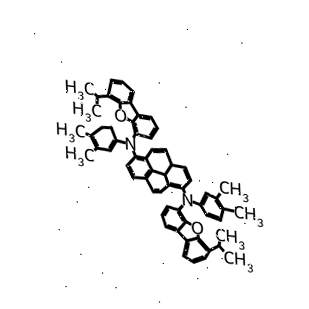 CC1=C(C)CCC(N(c2ccc3c4c2C=CC2C=CC(N(c5ccc(C)c(C)c5)c5cccc6c5oc5c(C(C)C)cccc56)=C(C=C3)C42)c2cccc3c2oc2c(C(C)C)cccc23)=C1